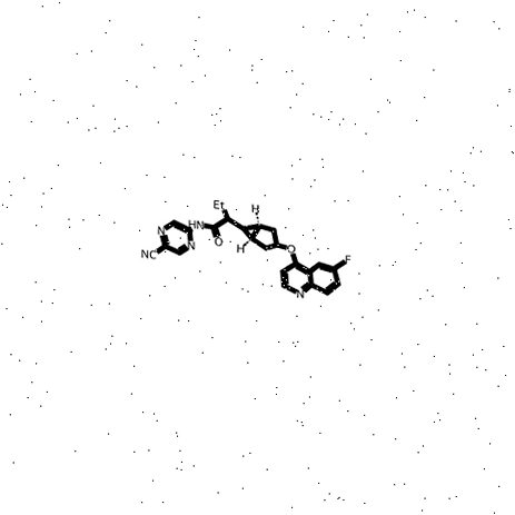 CCC(C(=O)Nc1cnc(C#N)cn1)C1[C@H]2CC(Oc3ccnc4ccc(F)cc34)C[C@@H]12